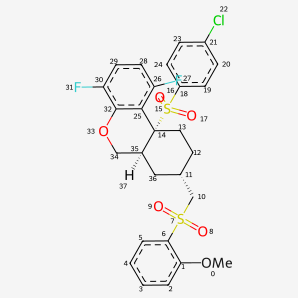 COc1ccccc1S(=O)(=O)C[C@H]1CC[C@]2(S(=O)(=O)c3ccc(Cl)cc3)c3c(F)ccc(F)c3OC[C@@H]2C1